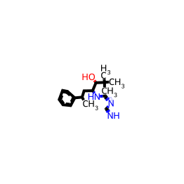 CC(CC(N/C=N\C=N)C(O)C(C)(C)C)c1ccccc1